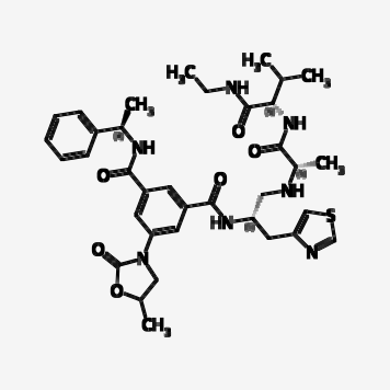 CCNC(=O)[C@@H](NC(=O)[C@H](C)NC[C@H](Cc1cscn1)NC(=O)c1cc(C(=O)N[C@H](C)c2ccccc2)cc(N2CC(C)OC2=O)c1)C(C)C